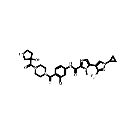 Cn1c(-c2cn(C3CC3)nc2C(F)(F)F)cnc1C(=O)Nc1ccc(C(=O)N2CCN(C(=O)C3(O)CCNC3)CC2)c(Cl)c1